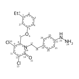 CCc1cccc(OCc2c(Cl)cc(Cl)c(=O)n2CCc2ccc(NN)cc2)c1